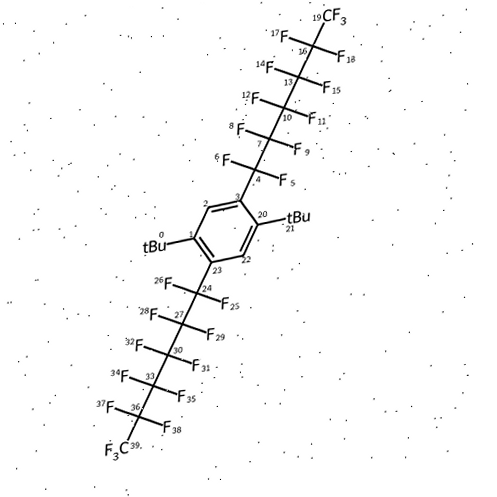 CC(C)(C)c1cc(C(F)(F)C(F)(F)C(F)(F)C(F)(F)C(F)(F)C(F)(F)F)c(C(C)(C)C)cc1C(F)(F)C(F)(F)C(F)(F)C(F)(F)C(F)(F)C(F)(F)F